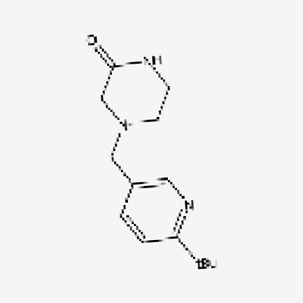 CC(C)(C)c1ccc(CN2CCNC(=O)C2)cn1